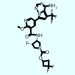 COc1ncc(-c2cc(C(F)(F)F)c3c(N)ncnn23)cc1C(=O)N[C@@H]1CN(C(=O)OC2CC(F)(F)C2)C[C@@H]1F